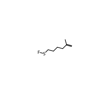 C=C(C)CCCCSF